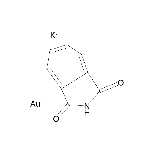 O=C1NC(=O)c2ccccc21.[Au].[K]